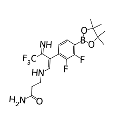 CC1(C)OB(c2ccc(/C(=C/NCCC(N)=O)C(=N)C(F)(F)F)c(F)c2F)OC1(C)C